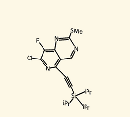 CSc1ncc2c(C#C[Si](C(C)C)(C(C)C)C(C)C)nc(Cl)c(F)c2n1